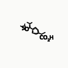 CC(C)=C(O[Si](C)(C)C)c1ccc(C(C)C(=O)O)cc1